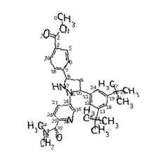 COC(=O)c1ccc(C2CC(c3cc(C(C)(C)C)cc(C(C)(C)C)c3)N(c3ccc(C(=O)N(C)C)nc3)N2)cc1